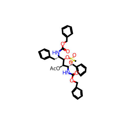 CC(=O)O[C@@H]([C@H](OS(C)(=O)=O)[C@H](Cc1ccccc1)NC(=O)OCc1ccccc1)[C@H](Cc1ccccc1)NC(=O)OCc1ccccc1